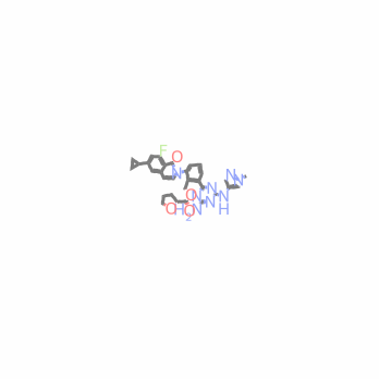 Cn1cc(Nc2nc(N)nc(-c3cccc(-n4ccc5cc(C6CC6)cc(F)c5c4=O)c3COC(=O)C3CCCO3)n2)cn1